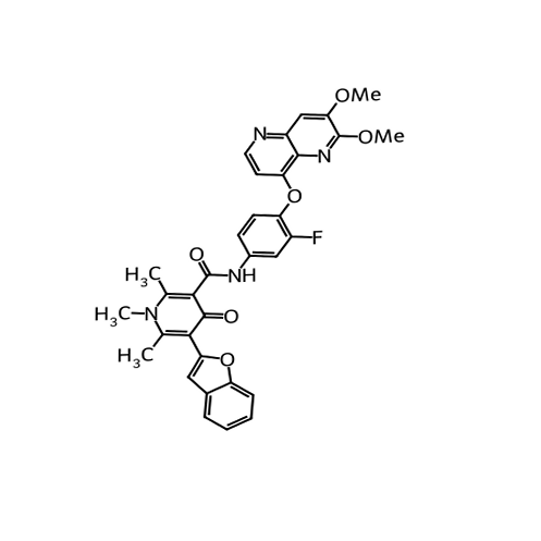 COc1cc2nccc(Oc3ccc(NC(=O)c4c(C)n(C)c(C)c(-c5cc6ccccc6o5)c4=O)cc3F)c2nc1OC